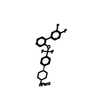 CCCCC[C@H]1CC[C@H](c2ccc(C(F)(F)Oc3ccccc3-c3ccc(F)c(F)c3)cc2)CC1